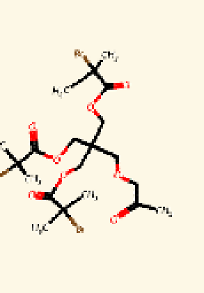 CC(=O)COCC(COC(=O)C(C)(C)Br)(COC(=O)C(C)(C)Br)COC(=O)C(C)(C)Br